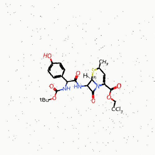 CC1C=C(C(=O)OCC(Cl)(Cl)Cl)N2C(=O)C(NC(=O)C(NC(=O)OC(C)(C)C)c3ccc(O)cc3)[C@H]2S1